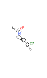 CC1(O)CN(C2CCc3cc(-c4ccc(C5CC5)c(Cl)c4)ccc32)C1